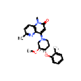 CCO[C@H]1CN(c2cc(=O)n(C)c3ccc(C#N)nc23)CC[C@@H]1Oc1ccccc1C(F)(F)F